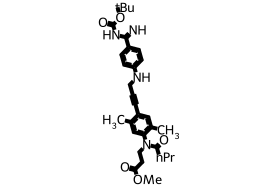 CCCC(=O)N(CCC(=O)OC)c1cc(C)c(C#CCNc2ccc(C(=N)NC(=O)OC(C)(C)C)cc2)cc1C